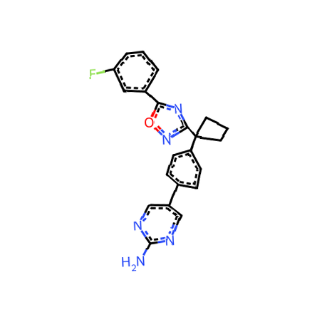 Nc1ncc(-c2ccc(C3(c4noc(-c5cccc(F)c5)n4)CCC3)cc2)cn1